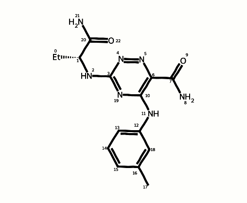 CC[C@@H](Nc1nnc(C(N)=O)c(Nc2cccc(C)c2)n1)C(N)=O